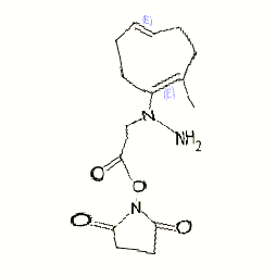 C/C1=C(\N(N)CC(=O)ON2C(=O)CCC2=O)CC/C=C/CC1